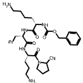 CC(C)C[C@H](NC(=O)[C@H](CCCCN)NC(=O)OCc1ccccc1)C(=O)N[C@@H](CCCN)C(=O)N1CCCC1C#N